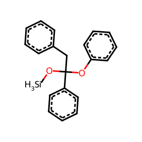 [SiH3]OC(Cc1ccccc1)(Oc1ccccc1)c1ccccc1